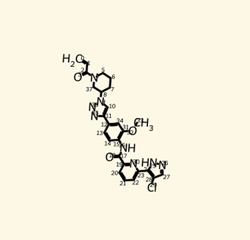 C=CC(=O)N1CCCC(n2cc(-c3ccc(NC(=O)c4cccc(-c5[nH]ncc5Cl)n4)c(OC)c3)nn2)C1